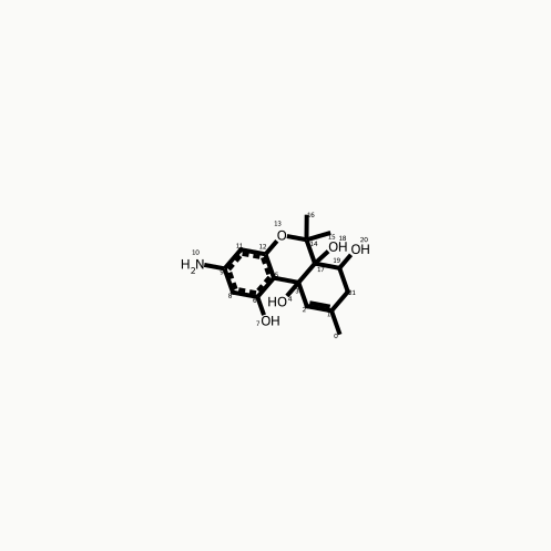 CC1=CC2(O)c3c(O)cc(N)cc3OC(C)(C)C2(O)C(O)C1